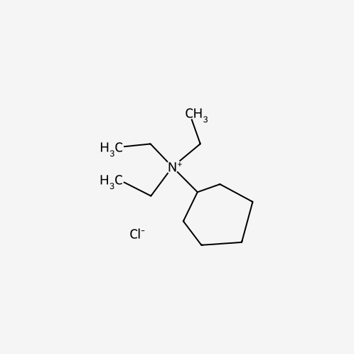 CC[N+](CC)(CC)C1CCCCC1.[Cl-]